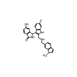 Cn1ccc2ccc(CNCc3[nH]c4cc(F)ccc4c3C3NC(=O)c4ccc(O)cc43)cc21